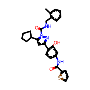 Cc1ccccc1CNC(=O)n1nc(-c2ccc(NC(=O)c3cccs3)cc2O)cc1C1CCCC1